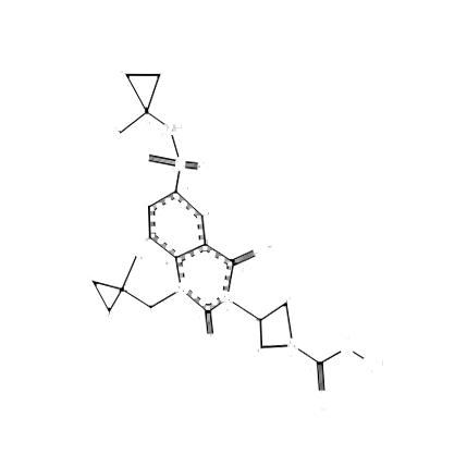 CC1(Cn2c(=O)n(C3CN(C(=O)OC(C)(C)C)C3)c(=O)c3cc(S(=O)(=O)NC4(C)CC4)ccc32)CC1